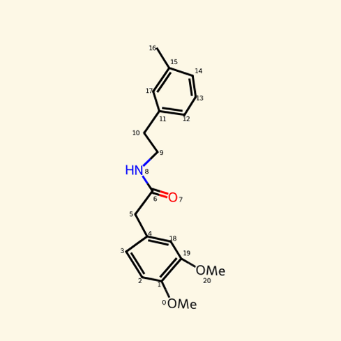 COc1ccc(CC(=O)NCCc2cccc(C)c2)cc1OC